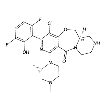 C[C@H]1CN(C)CCN1c1nc(-c2c(F)ccc(F)c2O)c(Cl)c2c1C(=O)N1CCNC[C@@H]1CO2